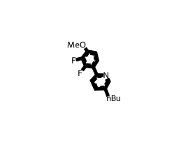 CCCCc1ccc(-c2ccc(OC)c(F)c2F)nc1